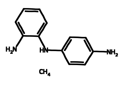 C.Nc1ccc(Nc2ccccc2N)cc1